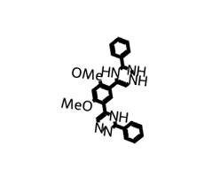 COc1cc(OC)c(C2=CNNC(c3ccccc3)N2)cc1C1=CN=NC(c2ccccc2)N1